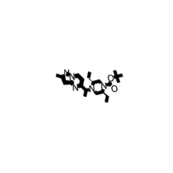 CC[C@H]1CN(C(C)c2ccn3nc(C)cc3n2)[C@H](CC)CN1C(=O)OC(C)(C)C